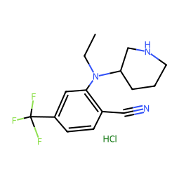 CCN(c1cc(C(F)(F)F)ccc1C#N)C1CCCNC1.Cl